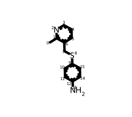 Cc1ncccc1CSc1ccc(N)cc1